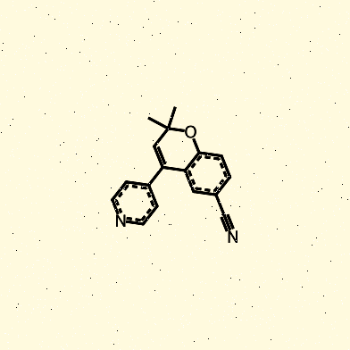 CC1(C)C=C(c2ccncc2)c2cc(C#N)ccc2O1